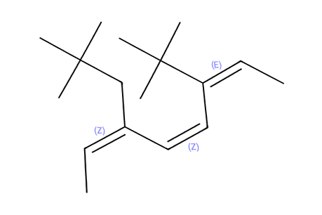 C\C=C(/C=C\C(=C/C)C(C)(C)C)CC(C)(C)C